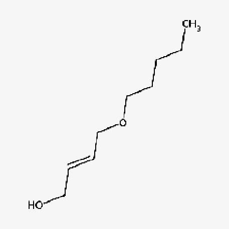 CCCCCOC/C=C/CO